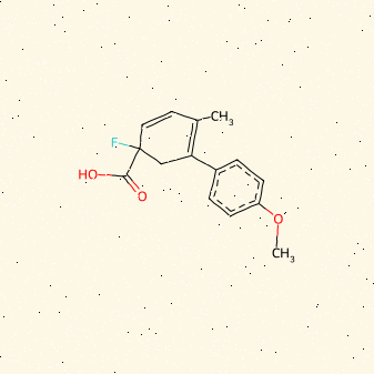 COc1ccc(C2=C(C)C=CC(F)(C(=O)O)C2)cc1